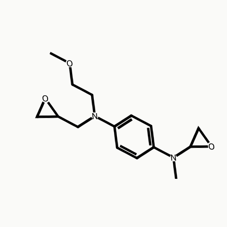 COCCN(CC1CO1)c1ccc(N(C)C2CO2)cc1